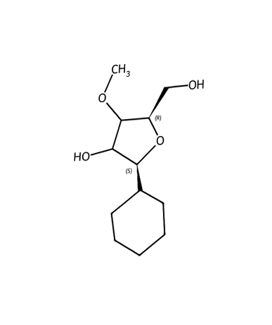 COC1C(O)[C@H](C2CCCCC2)O[C@@H]1CO